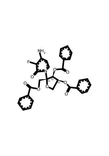 Nc1ccn([C@@]2(COC(=O)c3ccccc3)OC[C@H](OC(=O)c3ccccc3)[C@@H]2OC(=O)c2ccccc2)c(=O)c1F